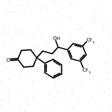 O=C1CCC(CCC(O)c2cc(C(F)(F)F)cc(C(F)(F)F)c2)(c2ccccc2)CC1